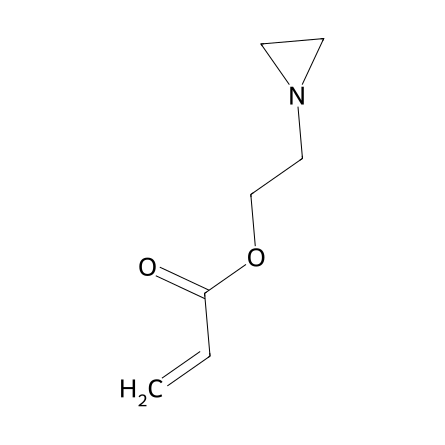 C=CC(=O)OCCN1CC1